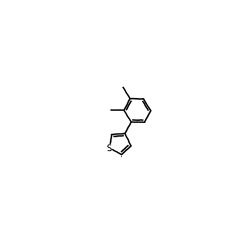 Cc1cccc(-c2c[c]sc2)c1C